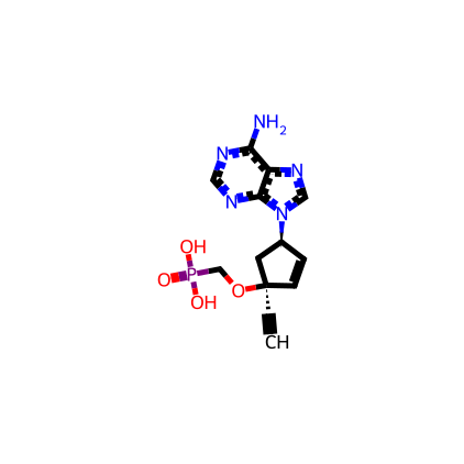 C#C[C@@]1(OCP(=O)(O)O)C=C[C@H](n2cnc3c(N)ncnc32)C1